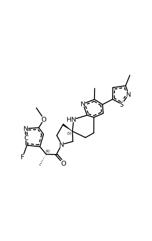 COc1cc([C@@H](C)C(=O)N2CC[C@@]3(CCc4cc(-c5cc(C)ns5)c(C)nc4N3)C2)c(F)cn1